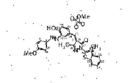 COS(=O)(=O)[O-].COc1ccc(/N=N/c2cc(/C=C3/C(=O)N(c4sc5ccccc5[n+]4C)N=C3C)ccc2O)cc1